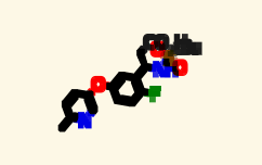 Cc1ccc(Oc2ccc(F)c([C@@H](CC(=O)O)NS(=O)(=O)C(C)(C)C)c2)cn1